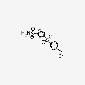 NS(=O)(=O)c1cc(S(=O)(=O)c2ccc(CBr)cc2)cs1